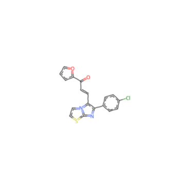 O=C(C=Cc1c(-c2ccc(Cl)cc2)nc2sccn12)c1ccco1